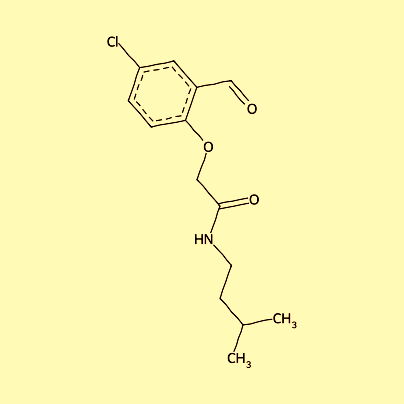 CC(C)CCNC(=O)COc1ccc(Cl)cc1C=O